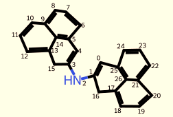 C1=C(NC2=Cc3cccc4cccc(c34)C2)Cc2cccc3cccc1c23